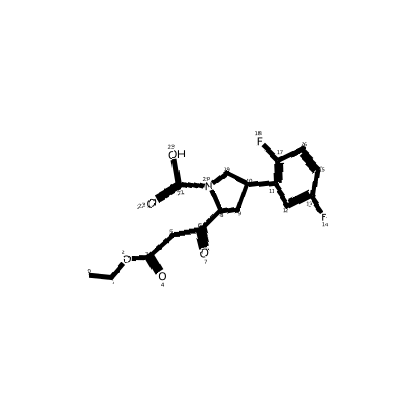 CCOC(=O)CC(=O)C1CC(c2cc(F)ccc2F)CN1C(=O)O